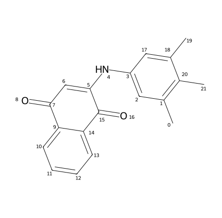 Cc1cc(NC2=CC(=O)c3ccccc3C2=O)cc(C)c1C